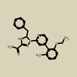 CCOc1cccc(C)c1-c1ccnc(N2N=C(C(N)=O)NC2Cc2ccccc2)c1